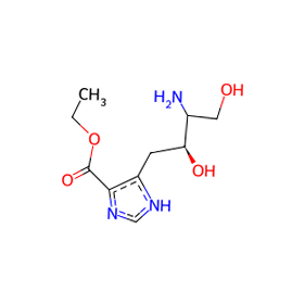 CCOC(=O)c1nc[nH]c1C[C@H](O)C(N)CO